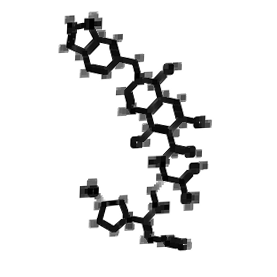 [C-]#[N+]/N=C(\NC[C@H](NC(=O)c1c(Cl)cc2c(=O)n(Cc3ccc4cn[nH]c4c3)cnc2c1Cl)C(=O)O)N1CC[C@H](O)C1